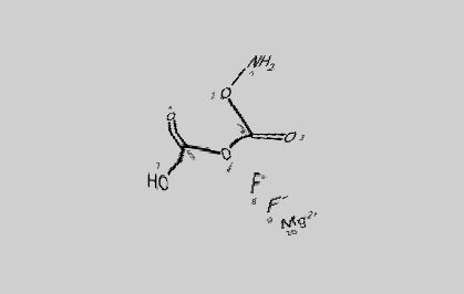 NOC(=O)OC(=O)O.[F-].[F-].[Mg+2]